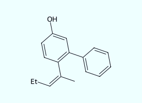 CC/C=C(/C)c1ccc(O)cc1-c1ccccc1